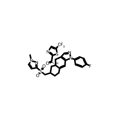 Cn1ccc(S(=O)(=O)CC2CCC3=Cc4c(cnn4-c4ccc(F)cc4)C[C@]3(C(=O)c3ncc(C(F)(F)F)s3)C2)n1